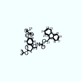 CC(C)OC(=O)CC(CNC(=O)OCC1c2ccccc2-c2ccccc21)c1ccc(OS(C)(=O)=O)cc1